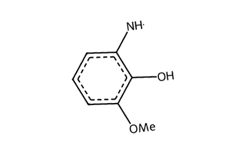 COc1cccc([NH])c1O